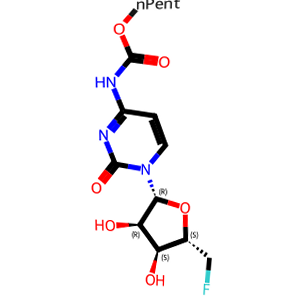 CCCCCOC(=O)Nc1ccn([C@@H]2O[C@H](CF)[C@@H](O)[C@H]2O)c(=O)n1